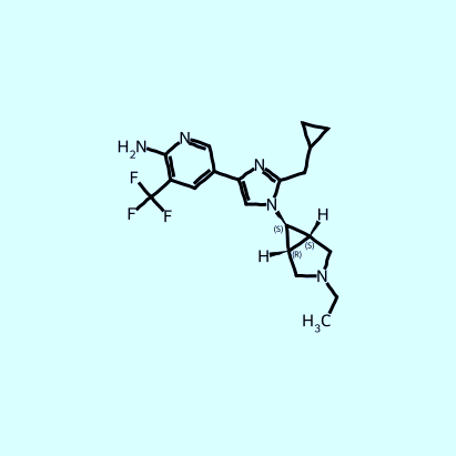 CCN1C[C@@H]2[C@H](C1)[C@H]2n1cc(-c2cnc(N)c(C(F)(F)F)c2)nc1CC1CC1